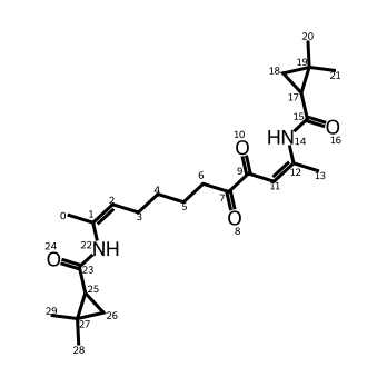 C/C(=C/CCCCC(=O)C(=O)/C=C(/C)NC(=O)C1CC1(C)C)NC(=O)C1CC1(C)C